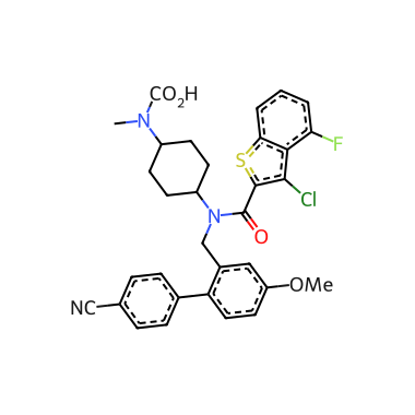 COc1ccc(-c2ccc(C#N)cc2)c(CN(C(=O)c2sc3cccc(F)c3c2Cl)C2CCC(N(C)C(=O)O)CC2)c1